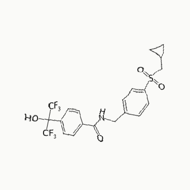 O=C(NCc1ccc(S(=O)(=O)CC2CC2)cc1)c1ccc(C(O)(C(F)(F)F)C(F)(F)F)cc1